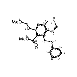 COCOc1cc(C)c(/N=C\N)c(CSc2ccccc2)c1C(=O)OC